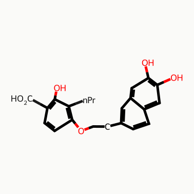 CCCc1c(OCCc2ccc3cc(O)c(O)cc3c2)ccc(C(=O)O)c1O